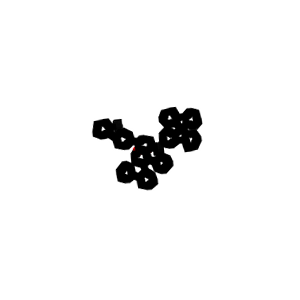 c1ccc(-c2ccccc2-c2ccccc2-c2ccccc2N(c2ccc(-c3ccc4c(c3)sc3ccccc34)cc2)c2ccc3c(c2)-c2ccccc2C32c3ccccc3-c3ccccc32)cc1